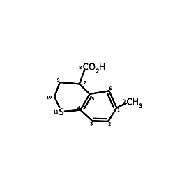 Cc1ccc2c(c1)C(C(=O)O)CCS2